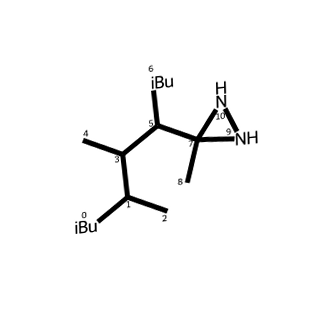 CCC(C)C(C)C(C)C(C(C)CC)C1(C)NN1